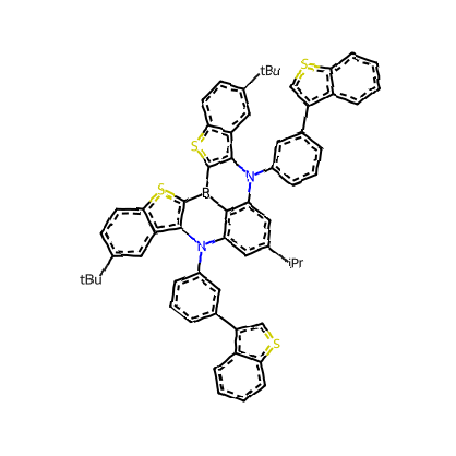 CC(C)c1cc2c3c(c1)N(c1cccc(-c4csc5ccccc45)c1)c1c(sc4ccc(C(C)(C)C)cc14)B3c1sc3ccc(C(C)(C)C)cc3c1N2c1cccc(-c2csc3ccccc23)c1